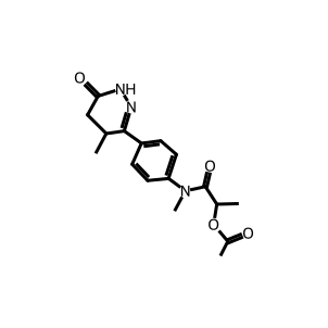 CC(=O)OC(C)C(=O)N(C)c1ccc(C2=NNC(=O)CC2C)cc1